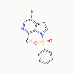 Cc1ncc(Br)c2ccn(S(=O)(=O)c3ccccc3)c12